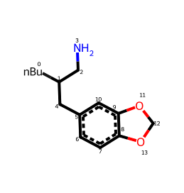 CCCCC(CN)Cc1ccc2c(c1)OCO2